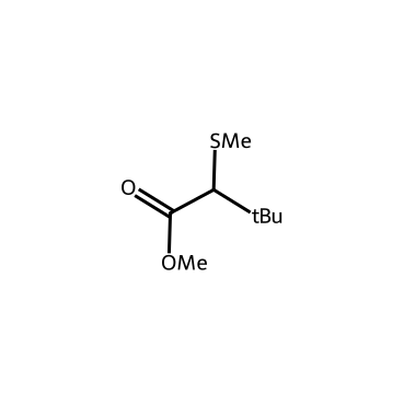 COC(=O)C(SC)C(C)(C)C